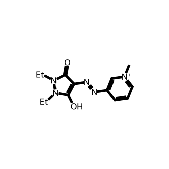 CCn1c(O)c(/N=N/c2ccc[n+](C)c2)c(=O)n1CC